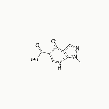 Cn1ncc2c(=O)c(C(=O)C(C)(C)C)c[nH]c21